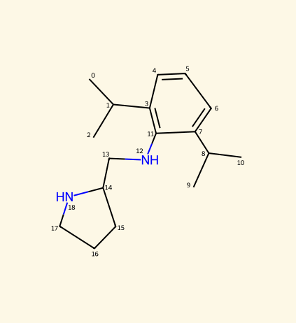 CC(C)c1cccc(C(C)C)c1NCC1CCCN1